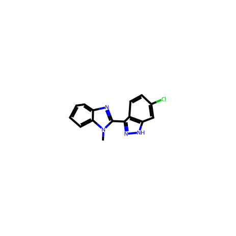 Cn1c(-c2n[nH]c3cc(Cl)ccc23)nc2ccccc21